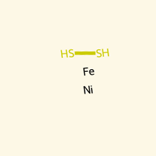 SS.[Fe].[Ni]